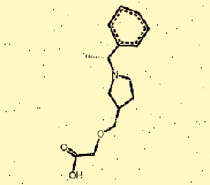 C[C@H](c1ccccc1)N1CCC(COCC(=O)O)C1